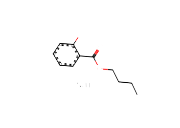 CCCCOC(=O)c1ccccc1O.[NaH]